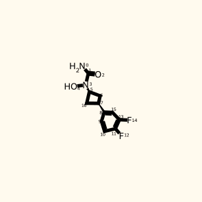 NC(=O)N(O)[C@H]1C[C@@H](c2ccc(F)c(F)c2)C1